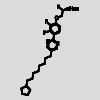 CCCCCCC(F)COc1ccc(-c2ncc(CCCCCCCCC3CCCC3)cn2)c(F)c1F